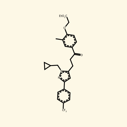 CCOC(=O)COc1ccc(C(=O)CCc2cc(-c3ccc(C(F)(F)F)cc3)nn2CC2CC2)cc1C